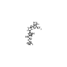 Cc1cc(CC(=O)Nc2cc([C@H]3CC[C@@H](OC(=O)NC4(CC(F)(F)F)CC4)C3)[nH]n2)on1